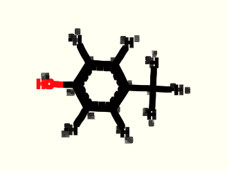 [2H]c1c([2H])c(C([2H])([2H])[2H])c([2H])c([2H])c1O